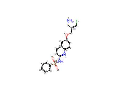 NC/C(=C\F)COc1ccc2nc(NS(=O)(=O)c3ccccc3)ccc2c1